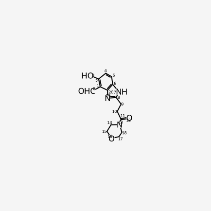 O=Cc1c(O)ccc2[nH]c(CCC(=O)N3CCOCC3)nc12